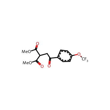 COC(=O)C(CC(=O)c1ccc(OC(F)(F)F)cc1)C(=O)OC